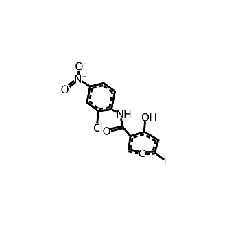 O=C(Nc1ccc([N+](=O)[O-])cc1Cl)c1ccc(I)cc1O